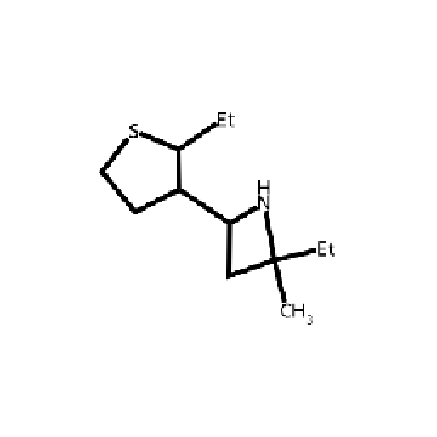 CCC1SCCC1C1CC(C)(CC)N1